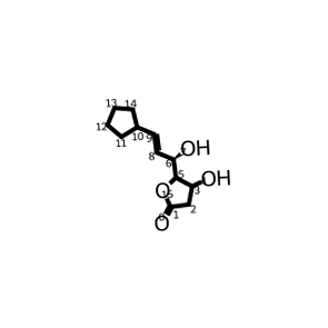 O=C1CC(O)C([C@H](O)/C=C/C2CCCC2)O1